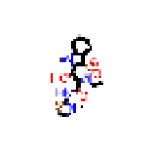 CCN1C(C(=O)Nc2nccs2)=C(O)c2c(c3ccccc3n2C)S1(=O)=O